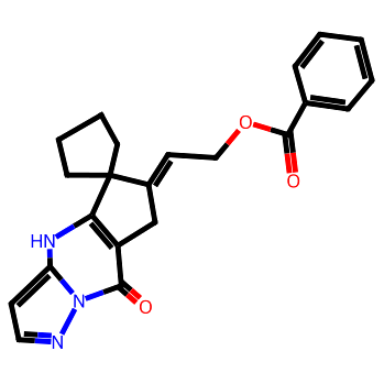 O=C(OC/C=C1\Cc2c([nH]c3ccnn3c2=O)C12CCCC2)c1ccccc1